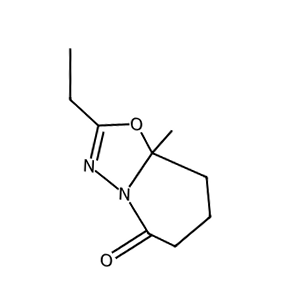 CCC1=NN2C(=O)CCCC2(C)O1